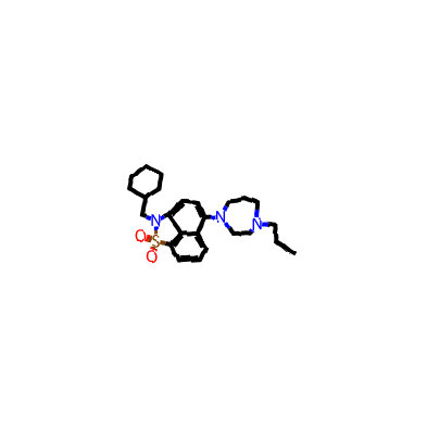 CCCN1CCCN(c2ccc3c4c(cccc24)S(=O)(=O)N3CC2CCCCC2)CC1